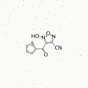 N#Cc1no[n+](O)c1C(=O)c1cccs1